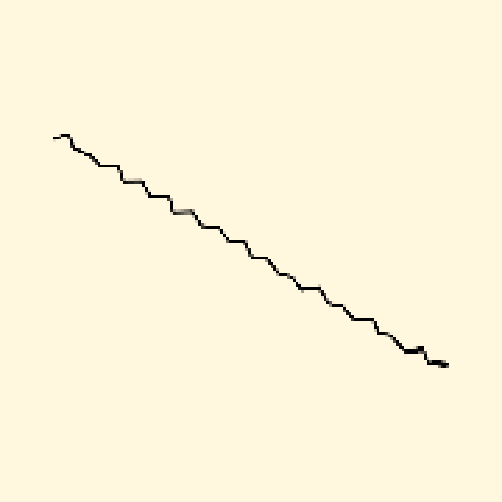 C=CC=CCCCCCCCCCCCCCCCCCCCCCCCCCCCC